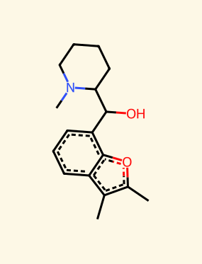 Cc1oc2c(C(O)C3CCCCN3C)cccc2c1C